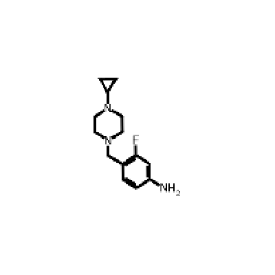 Nc1ccc(CN2CCN(C3CC3)CC2)c(F)c1